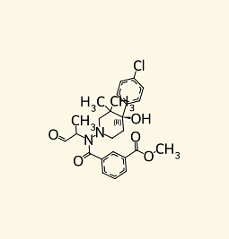 COC(=O)c1cccc(C(=O)N(C(C)C=O)N2CC[C@@](O)(c3ccc(Cl)cc3)C(C)(C)C2)c1